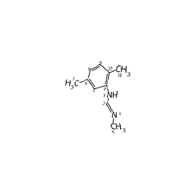 CN=CNc1cc(C)ccc1C